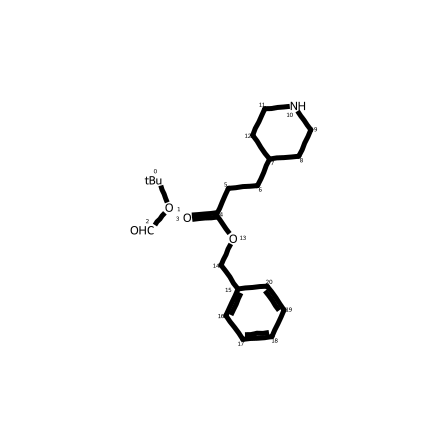 CC(C)(C)OC=O.O=C(CCC1CCNCC1)OCc1ccccc1